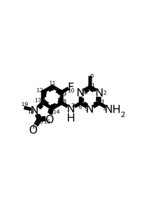 Cc1nc(N)nc(Nc2c(F)ccc3c2oc(=O)n3C)n1